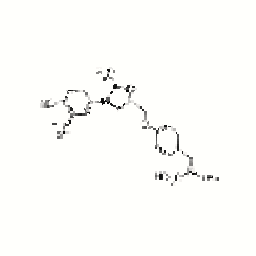 CC(C)(C)N(Cc1ccc(OCC2CN(c3ccc(C#N)c(C(F)(F)F)c3)C(C(F)(F)F)O2)cc1)C(=O)O